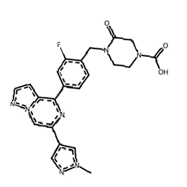 Cn1cc(-c2cn3nccc3c(-c3ccc(CN4CCN(C(=O)O)CC4=O)c(F)c3)n2)cn1